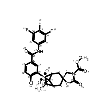 COC(=O)N1C[C@@]2(CC3C[C@H](C)C(C2)[C@@H]3S(=O)(=O)c2cc(C(=O)Nc3cc(F)c(F)c(F)c3)ccc2Cl)OC1=O